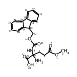 COC(=O)CCC(N)(NC(=O)OCC1c2ccccc2-c2ccccc21)C(=O)O